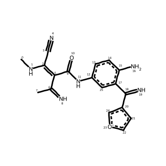 CN/C(C#N)=C(\C(C)=N)C(=O)Nc1ccc(N)c(C(=N)c2ccoc2)c1